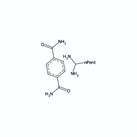 CCCCCC(N)N.NC(=O)c1ccc(C(N)=O)cc1